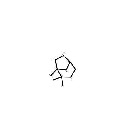 CC1(C)CCC2CC1(C)CS2